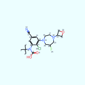 CC(C)(C)N(C(=O)O)c1cc(C#N)cc(N2CCN(C3COC3)CC(F)C2)c1Cl